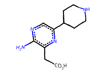 Nc1ncc(C2CCNCC2)nc1CC(=O)O